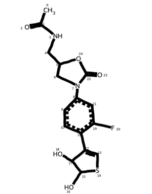 CC(=O)NCC1CN(c2ccc(C3=CSC(O)C3O)c(F)c2)C(=O)O1